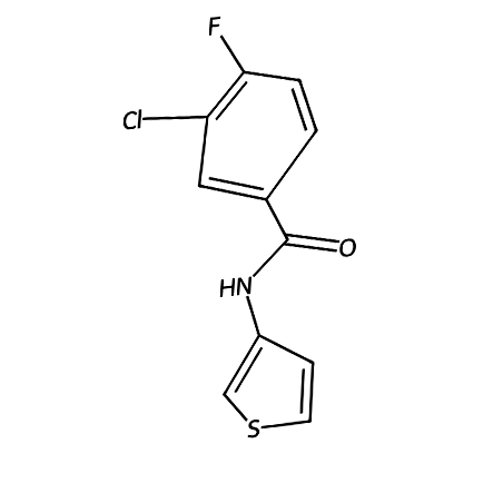 O=C(Nc1ccsc1)c1ccc(F)c(Cl)c1